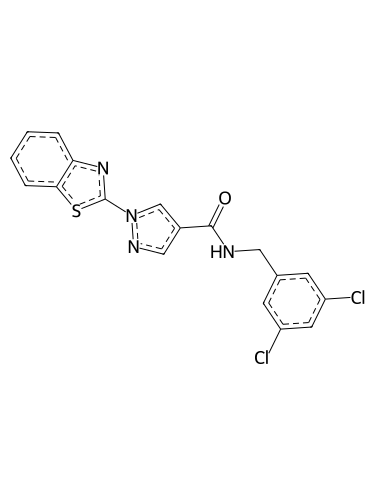 O=C(NCc1cc(Cl)cc(Cl)c1)c1cnn(-c2nc3ccccc3s2)c1